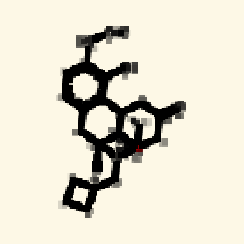 O=CNc1ccc2c(c1O)[C@]13CCN(CC4CCC4)[C@H](C2)[C@]1(O)CCC(=O)C3